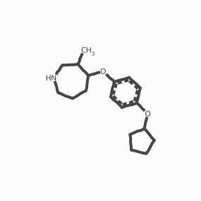 CC1CNCCCC1Oc1ccc(OC2CCCC2)cc1